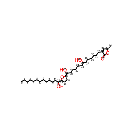 CCCCCCCCCCCC[C@H](O)[C@@H]1CC[C@H]([C@H](O)CCCCCC(O)CCCCCCC2=C[C@H](C)OC2=O)O1